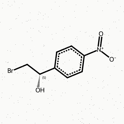 O=[N+]([O-])c1ccc([C@H](O)CBr)cc1